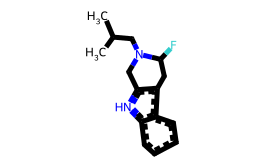 CC(C)CN1Cc2[nH]c3ccccc3c2CC1F